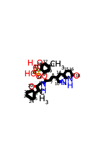 Cc1c(CNC(=O)/C=C/c2cnc3c(c2)CCC(=O)N3)oc2ccccc12.Cc1ccc(S(=O)(=O)O)cc1.O